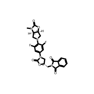 CN1C(=O)O[C@H]2CN(c3c(F)cc(N4C[C@H](CN5C(=O)c6ccccc6C5=O)OC4=O)cc3F)C[C@H]21